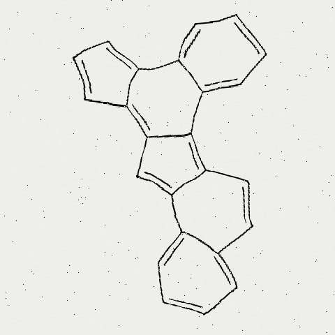 C1=Cc2c3c(c4ccccc4c2=C1)=c1ccc2ccccc2c1=C3